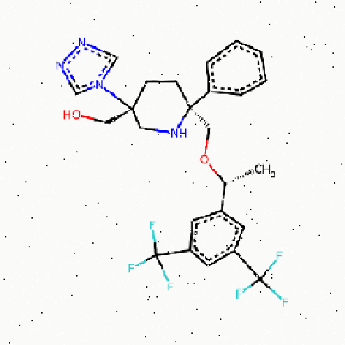 C[C@@H](OC[C@@]1(c2ccccc2)CC[C@@](CO)(n2cnnc2)CN1)c1cc(C(F)(F)F)cc(C(F)(F)F)c1